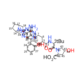 CC(C)(C)[C@H](NC(=O)C1CCC(c2cnc(N3C4CCC3CN(c3cc(-c5ccccc5O)nnc3N)C4)nc2)CC1)C(=O)N1CC(O)CC1C(=O)O